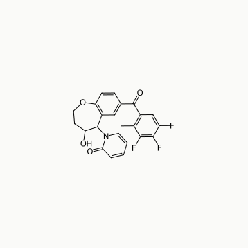 Cc1c(C(=O)c2ccc3c(c2)C(n2ccccc2=O)C(O)CCO3)cc(F)c(F)c1F